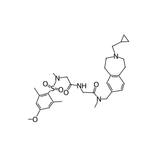 COc1cc(C)c(S(=O)(=O)N(C)CC(=O)NCC(=O)N(C)Cc2ccc3c(c2)CCN(CC2CC2)CC3)c(C)c1